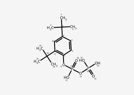 CC(C)(C)c1ccc(OP(=O)(O)OP(=O)(O)O)c(C(C)(C)C)c1